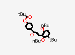 CCCCOc1ccc(C(C)(C)C)c(OCCCC)c1C=CC(=O)c1ccc(OC(=O)C(C)(C)C)cc1